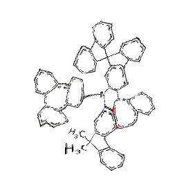 CC1(C)c2ccccc2-c2ccc(N(c3ccc4c5ccccc5c5ccccc5c4c3)c3cc4c(cc3-c3cccc5ccccc35)-c3ccccc3C43c4ccccc4-c4ccccc43)cc21